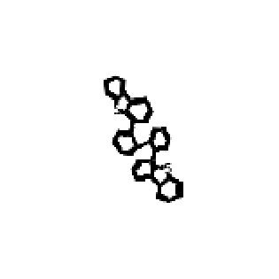 C1=CC2Sc3c(-c4ccccc4-c4ccccc4-c4cccc5c4sc4ccccc45)cccc3C2C=C1